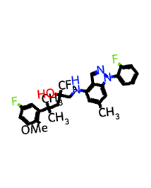 COc1ccc(F)cc1C(C)(C)CC(O)(CNc1cc(C)cc2c1cnn2-c1ccccc1F)C(F)(F)F